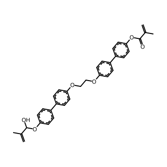 C=C(C)C(=O)Oc1ccc(-c2ccc(OCCOc3ccc(-c4ccc(OC(O)C(=C)C)cc4)cc3)cc2)cc1